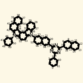 c1ccc(-c2nc(-c3ccc4ccccc4c3)nc(-c3ccc4cc(-n5c6ccccc6c6c7c8c9ccccc9ccc8n(-c8ccccc8)c7ccc65)ccc4c3)n2)cc1